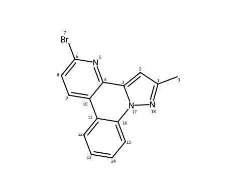 Cc1cc2c3nc(Br)ccc3c3ccccc3n2n1